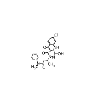 CC(CC(=O)N(C)c1ccccc1)n1nc(O)c2[nH]c3cc(Cl)ccc3c(=O)c2c1=O